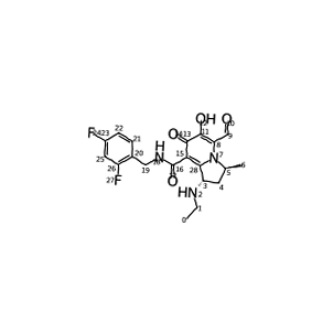 CCN[C@H]1C[C@H](C)n2c(C=O)c(O)c(=O)c(C(=O)NCc3ccc(F)cc3F)c21